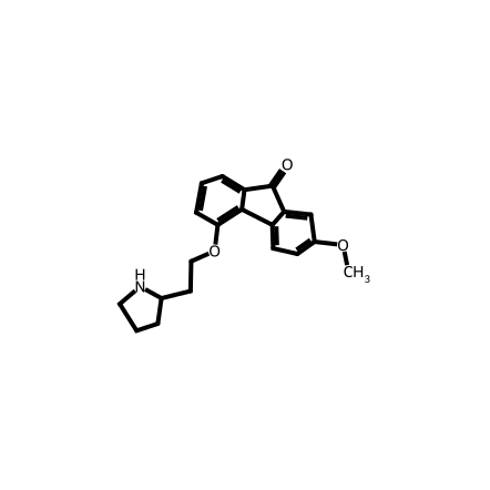 COc1ccc2c(c1)C(=O)c1cccc(OCCC3CCCN3)c1-2